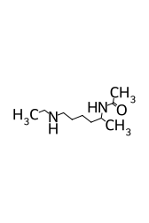 CCNCCCCC(C)NC(C)=O